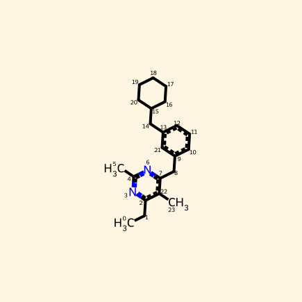 CCc1nc(C)nc(Cc2cccc(CC3CCCCC3)c2)c1C